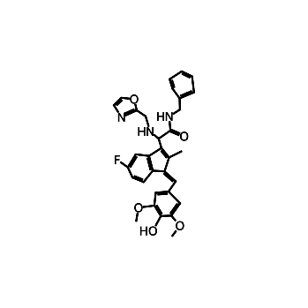 COc1cc(/C=C2/C(C)=C(C(NCc3ncco3)C(=O)NCc3ccccc3)c3cc(F)ccc32)cc(OC)c1O